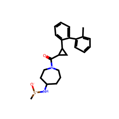 Cc1ccccc1-c1ccccc1C1CC1C(=O)N1CCCC(N[S+](C)[O-])CC1